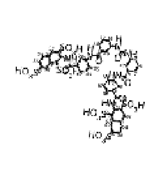 CC1=C(NC(=O)C2C=CCC(NC(=O)Nc3cccc(C(=O)Nc4cc(C(=O)Nc5c(S(=O)(=O)O)cc6ccc(S(=O)(=O)O)cc6c5S(=O)(=O)O)ccc4C)c3)=C2)CC(C(=O)Nc2c(S(=O)(=O)O)cc3ccc(S(=O)(=O)O)cc3c2S(=O)(=O)O)C=C1